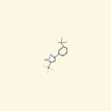 CC(C)(C)c1cccc(-c2cc(C(F)(F)F)[nH]n2)c1